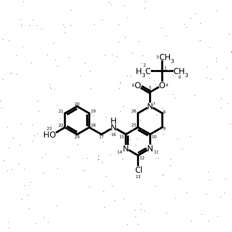 CC(C)(C)OC(=O)N1CCc2nc(Cl)nc(NCc3cccc(O)c3)c2C1